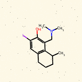 CC1CCCc2cc(I)c(O)c(CN(C)C)c21